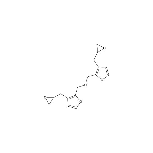 c1cc(CC2CO2)c(COCc2occc2CC2CO2)o1